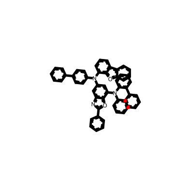 c1ccc(-c2ccc(N(c3cc(N(c4ccccc4)c4ccccc4-c4ccccc4)c4oc(-c5ccccc5)nc4c3)c3cccc4c3oc3ccccc34)cc2)cc1